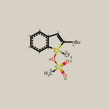 CCCCC1=Cc2ccccc2S1(OS(C)(=O)=O)C(F)(F)F